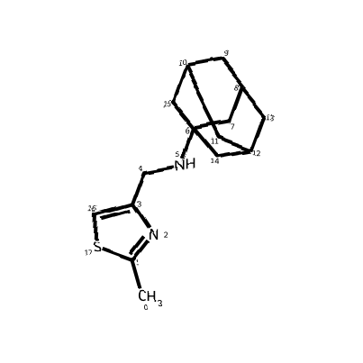 Cc1nc(CNC23CC4CC(CC(C4)C2)C3)cs1